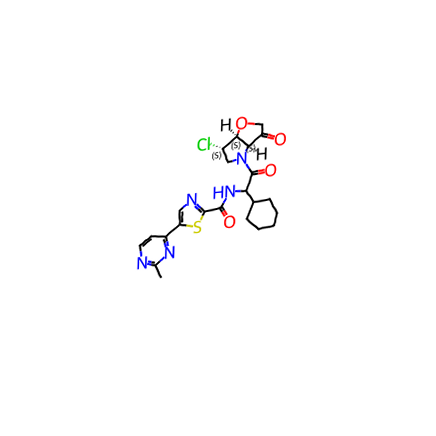 Cc1nccc(-c2cnc(C(=O)NC(C(=O)N3C[C@H](Cl)[C@H]4OCC(=O)[C@H]43)C3CCCCC3)s2)n1